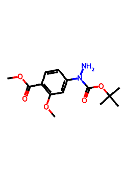 COC(=O)c1ccc(N(N)C(=O)OC(C)(C)C)cc1OC